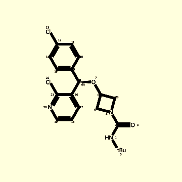 CC(C)(C)NC(=O)N1CC(O[C@H](c2ccc(Cl)cc2)c2cccnc2Cl)C1